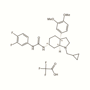 COc1ccc([C@@]23CC[C@@H](NC(=O)Nc4ccc(F)c(F)c4)C[C@@H]2N(CC2CC2)CC3)cc1OC.O=C(O)C(F)(F)F